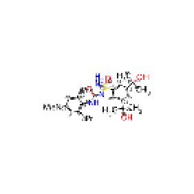 CNc1cc(C(C)C)c(NC(=O)N=[S@@](N)(=O)c2cc(C(C)(C)O)cc(C(C)(C)O)c2)c(C(C)C)c1